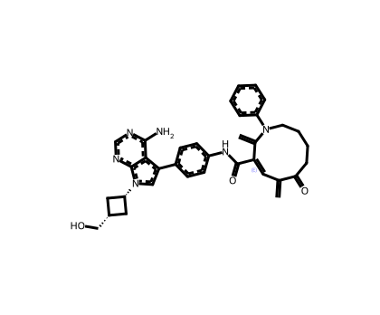 C=C1/C=C(/C(=O)Nc2ccc(-c3cn([C@H]4C[C@@H](CO)C4)c4ncnc(N)c34)cc2)C(=C)N(c2ccccc2)CCCCC1=O